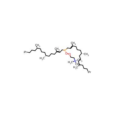 C/C(=C\CP(C/C=C(\C)CCC[C@H](C)CCC[C@H](C)CCCC(C)C)OOCC[N+](C)(C)C)CCC[C@H](C)CCC[C@H](C)CCCC(C)C